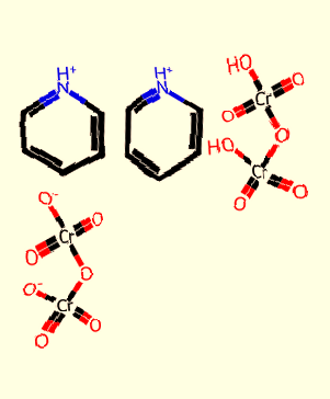 [O]=[Cr](=[O])([O-])[O][Cr](=[O])(=[O])[O-].[O]=[Cr](=[O])([OH])[O][Cr](=[O])(=[O])[OH].c1cc[nH+]cc1.c1cc[nH+]cc1